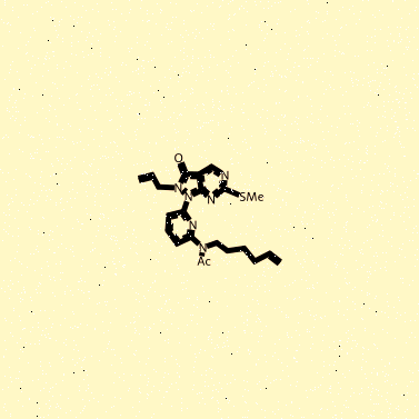 C=CCCCCN(C(C)=O)c1cccc(-n2c3nc(SC)ncc3c(=O)n2CC=C)n1